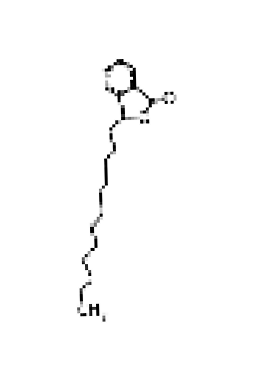 CCCCCCCCCCCCC1OC(=O)c2ccccc21